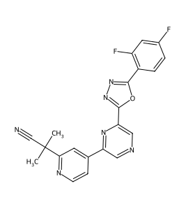 CC(C)(C#N)c1cc(-c2cncc(-c3nnc(-c4ccc(F)cc4F)o3)n2)ccn1